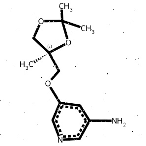 CC1(C)OC[C@](C)(COc2cncc(N)c2)O1